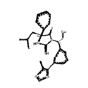 Cc1ncoc1-c1cccc([C@@H](CO)N2C(=N)N[C@](CC(C)C)(c3ccccc3)C2=O)c1